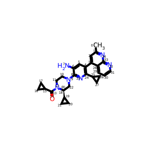 Cc1cc(-c2cc(N)c(N3CCN(C(=O)C4CC4)[C@H](C4CC4)C3)nc2C2CC2)c2cccnc2n1